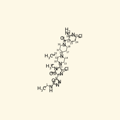 CCNc1nnc(-c2nc(Cl)c(N3CCN(C4CCN(C(=O)c5ccc(Cl)nc5N)CC4)[C@@H](CC)C3)n(C)c2=O)o1